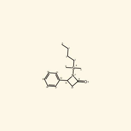 CCCC[Si](C)(C)N1C(=O)CC1c1ccccc1